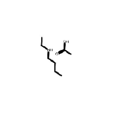 CC(=O)O.CCCCNCC